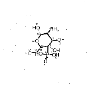 N[C@H]1[C@@H](O)[C@@](O)(P(=O)(O)O)[C@@H](CO)O[C@@H]1O